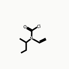 C=CN(C(=O)Cl)C(C)CC